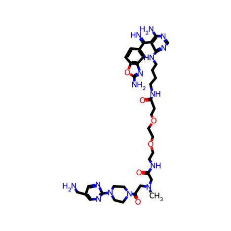 CN(CC(=O)NCCOCCOCCC(=O)NCCCCNc1ncnc(N)c1C(=N)c1ccc2oc(N)nc2c1)CC(=O)N1CCN(c2ncc(CN)cn2)CC1